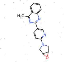 Cc1nc(-c2ccc(N3CC4OC4C3)nc2)nc2ccccc12